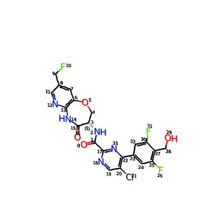 O=C(N[C@H]1COc2cc(CF)cnc2NC1=O)c1ncc(Cl)c(-c2cc(F)c(CO)c(F)c2)n1